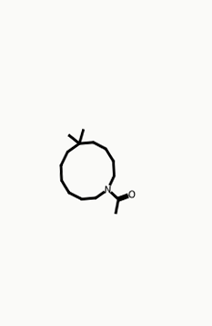 CC(=O)N1CCCCCCC(C)(C)CCCC1